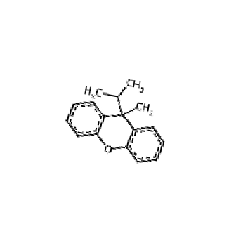 CC(C)C1(C)c2ccccc2Oc2ccccc21